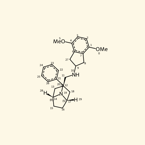 COc1ccc(OC)c2c1CC(NC[C@@H]1C[C@H]3CC[C@@H](C1)N3Cc1ccccc1)C2